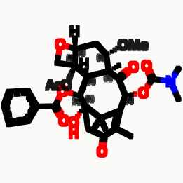 CO[C@H]1C[C@H]2OC[C@@]2(OC(C)=O)[C@H]2[C@H](OC(=O)c3ccccc3)[C@]3(O)CC(=O)C(C)=C([C@@H](OC(=O)N(C)C)C(=O)[C@]12C)C3(C)C